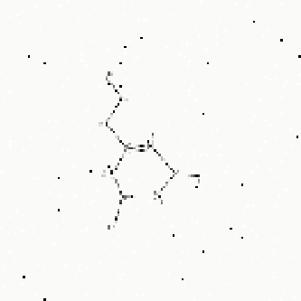 CCCC1=NC(C)SC(C)S1